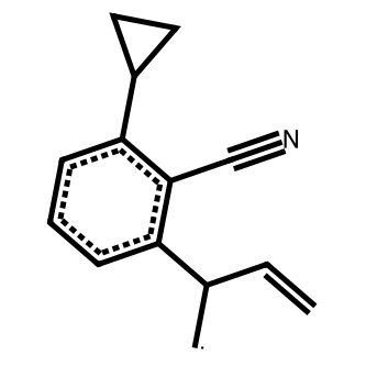 [CH2]C(C=C)c1cccc(C2CC2)c1C#N